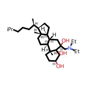 CCN(CC)C[C@@]1(O)C[C@H]2[C@@H]3CC[C@H]([C@H](C)CCCC(C)C)[C@@]3(C)CC[C@@H]2[C@@]2(C)CC[C@H](O)C[C@]12O